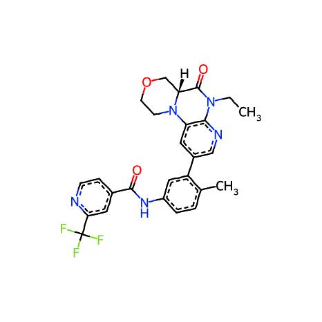 CCN1C(=O)[C@H]2COCCN2c2cc(-c3cc(NC(=O)c4ccnc(C(F)(F)F)c4)ccc3C)cnc21